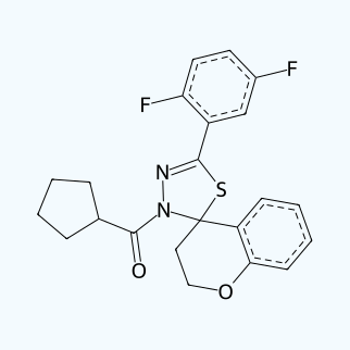 O=C(C1CCCC1)N1N=C(c2cc(F)ccc2F)SC12CCOc1ccccc12